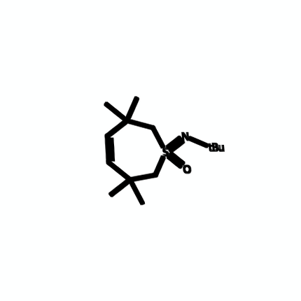 CC1(C)C=CC(C)(C)CS(=O)(=NC(C)(C)C)C1